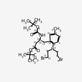 Cc1ccc(N(CCBr)CCBr)c(C[C@@H](CC(=O)OC(C)(C)C)NC(=O)OC(C)(C)C)c1